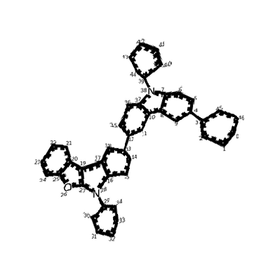 c1ccc(-c2ccc3c(c2)c2cc(-c4ccc5c(c4)c4c6ccccc6oc4n5-c4ccccc4)ccc2n3-c2ccccc2)cc1